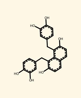 Oc1ccc(Cc2c(O)ccc3ccc(O)c(Cc4ccc(O)c(O)c4)c23)cc1O